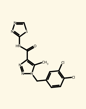 Cc1c(C(=O)Nc2nncs2)nnn1Cc1ccc(Cl)c(Cl)c1